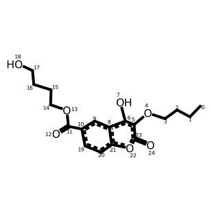 CCCCOc1c(O)c2cc(C(=O)OCCCCO)ccc2oc1=O